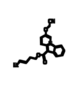 CC/C=C/CCOC(=O)c1c2ccccc2n2cc(OCC#N)ccc12